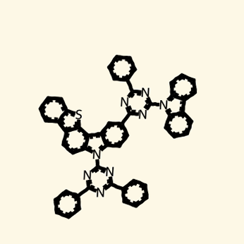 c1ccc(-c2nc(-c3ccc4c(c3)c3c5sc6ccccc6c5ccc3n4-c3nc(-c4ccccc4)nc(-c4ccccc4)n3)nc(-n3c4ccccc4c4ccccc43)n2)cc1